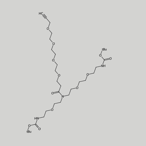 C#CCOCCOCCOCCOCCC(=O)N(CCOCCNC(=O)OC(C)(C)C)CCOCCOCCNC(=O)OC(C)(C)C